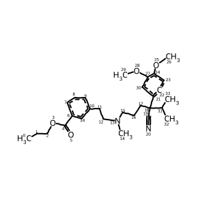 CCCOC(=O)c1cccc(CCN(C)CCCC(C#N)(c2ccc(OC)c(OC)c2)C(C)C)c1